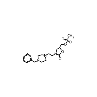 CS(=O)(=O)OCC1CN(CCN2CCN(Cc3ccccc3)CC2)C(=O)O1